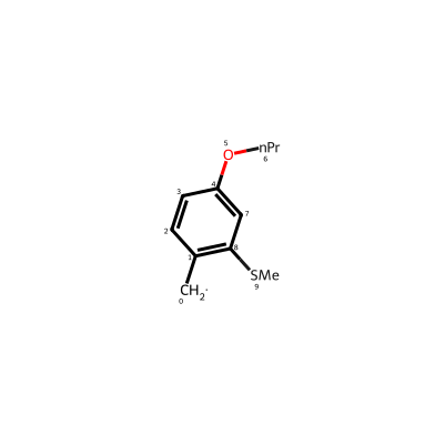 [CH2]c1ccc(OCCC)cc1SC